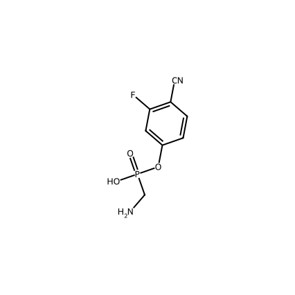 N#Cc1ccc(OP(=O)(O)CN)cc1F